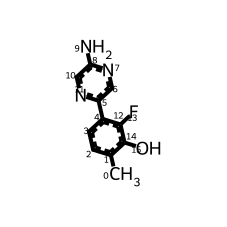 Cc1ccc(-c2cnc(N)cn2)c(F)c1O